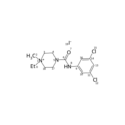 CC[N+]1(C)CCN(C(=O)Nc2cc(Cl)cc(Cl)c2)CC1.[I-]